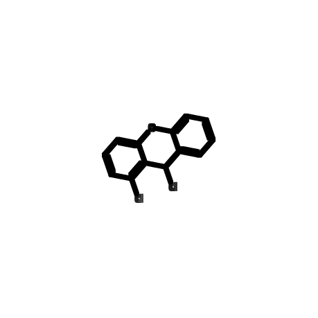 Clc1cccc2c1C(Cl)c1ccccc1O2